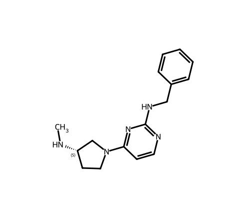 CN[C@H]1CCN(c2ccnc(NCc3ccccc3)n2)C1